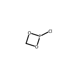 ClP1OCO1